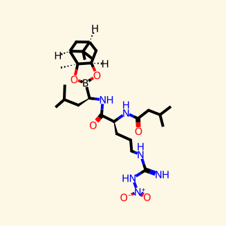 CC(C)CC(=O)N[C@@H](CCCNC(=N)N[N+](=O)[O-])C(=O)N[C@@H](CC(C)C)B1O[C@@H]2C[C@@H]3C[C@@H](C3(C)C)[C@]2(C)O1